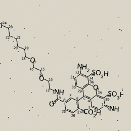 N=c1ccc2c(-c3cc(C(=O)NCCOCCOCCCCCCCl)ccc3C(=O)O)c3ccc(N)c(S(=O)(=O)O)c3oc-2c1S(=O)(=O)O